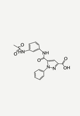 CS(=O)(=O)Nc1cccc(NC(=O)c2cc(C(=O)O)nn2-c2ccccc2)c1